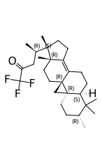 C[C@@H]1CC[C@]23C[C@]24CC[C@@]2(C)C(=C4CC[C@H]3C1(C)C)CC[C@@]2(C)[C@H](C)CC(=O)C(F)(F)F